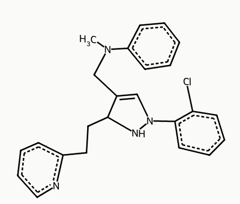 CN(CC1=CN(c2ccccc2Cl)NC1CCc1ccccn1)c1ccccc1